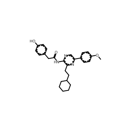 COc1ccc(-c2cnc(NC(=O)Cc3ccc(O)cc3)c(CCC3CCCCC3)n2)cc1